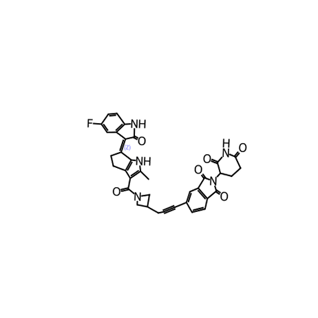 Cc1[nH]c2c(c1C(=O)N1CC(CC#Cc3ccc4c(c3)C(=O)N(C3CCC(=O)NC3=O)C4=O)C1)CC/C2=C1/C(=O)Nc2ccc(F)cc21